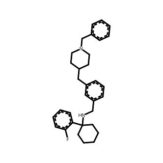 Fc1ccccc1C1(NCc2cccc(CC3CCN(Cc4ccccc4)CC3)c2)CCCCC1